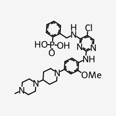 COc1cc(N2CCC(N3CCN(C)CC3)CC2)ccc1Nc1ncc(Cl)c(NCc2ccccc2P(=O)(O)O)n1